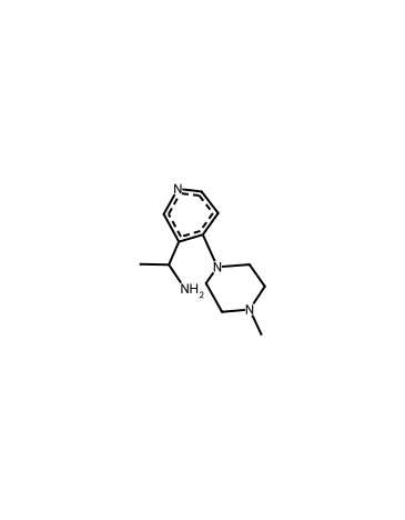 CC(N)c1cnccc1N1CCN(C)CC1